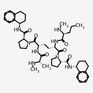 CCC[C@H](NC)C(=O)N[C@@H](CC[C@H](NC(=O)[C@H](C)NC)C(=O)N1CCC[C@H]1C(=O)N[C@@H]1CCCc2ccccc21)C(=O)N1CCC[C@H]1C(=O)N[C@@H]1CCCc2ccccc21